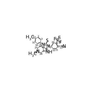 Cc1ccc(N2C(=S)N(c3ccc(C#N)c(C(F)(F)F)c3)C(=N)C23CCN(C)CC3)cc1